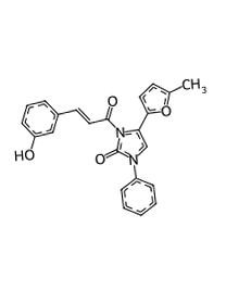 Cc1ccc(-c2cn(-c3ccccc3)c(=O)n2C(=O)C=Cc2cccc(O)c2)o1